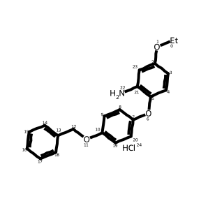 CCOc1ccc(Oc2ccc(OCc3ccccc3)cc2)c(N)c1.Cl